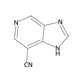 N#Cc1cncc2nc[nH]c12